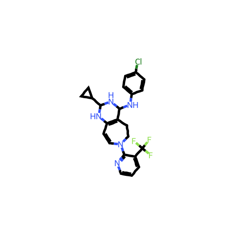 FC(F)(F)c1cccnc1N1C=CC2=C(CC1)C(Nc1ccc(Cl)cc1)NC(C1CC1)N2